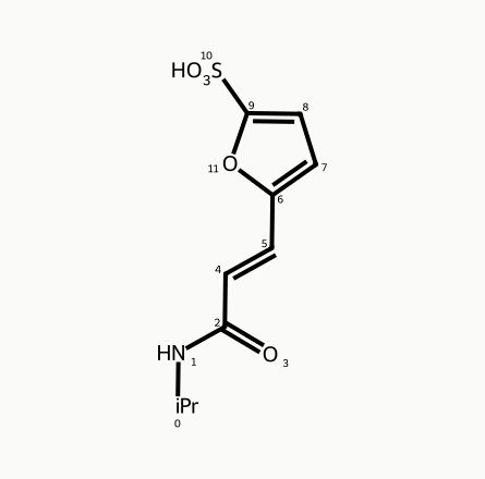 CC(C)NC(=O)C=Cc1ccc(S(=O)(=O)O)o1